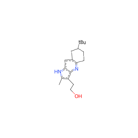 Cc1[nH]c2cc3c(nc2c1CCO)CCC(C(C)(C)C)C3